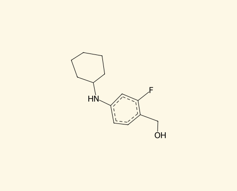 OCc1ccc(NC2CCCCC2)cc1F